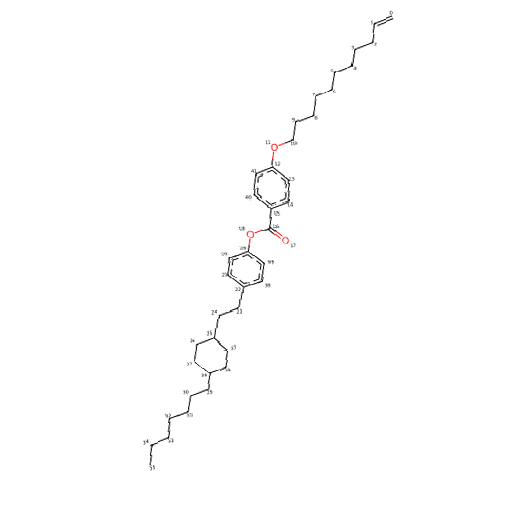 C=CCCCCCCCCCOc1ccc(C(=O)Oc2ccc(CCC3CCC(CCCCCCC)CC3)cc2)cc1